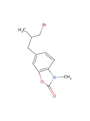 CC(CBr)Cc1ccc2c(c1)oc(=O)n2C